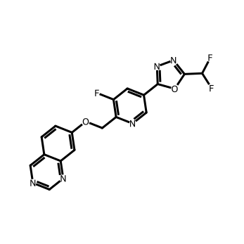 Fc1cc(-c2nnc(C(F)F)o2)cnc1COc1ccc2cncnc2c1